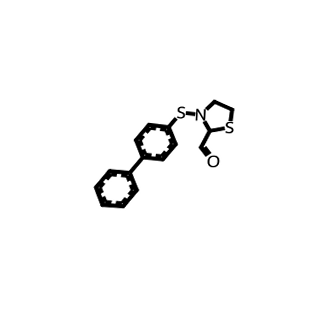 O=CC1SCCN1Sc1ccc(-c2ccccc2)cc1